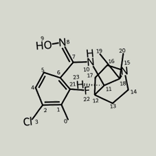 Cc1c(Cl)ccc(/C(=N\O)N[C@@H]2C3CCN(CC3)C2(C)C)c1F